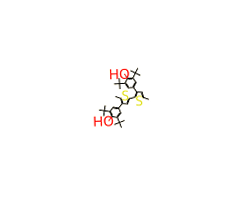 Cc1cc(-c2cc(C(C)(C)C)c(O)c(C(C)(C)C)c2)c(-c2cc(-c3cc(C(C)(C)C)c(O)c(C(C)(C)C)c3)c(C)s2)s1